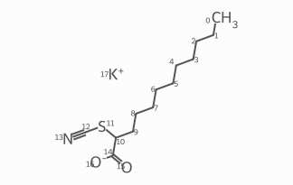 CCCCCCCCCCC(SC#N)C(=O)[O-].[K+]